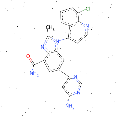 Cc1nc2c(C(N)=O)cc(-c3cc(N)ncn3)cc2n1-c1ccnc2c(Cl)cccc12